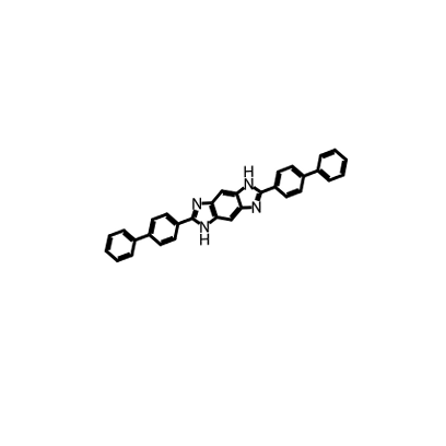 c1ccc(-c2ccc(-c3nc4cc5[nH]c(-c6ccc(-c7ccccc7)cc6)nc5cc4[nH]3)cc2)cc1